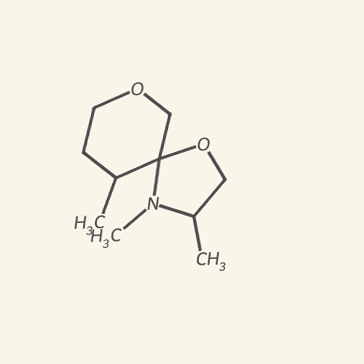 CC1COC2(COCCC2C)N1C